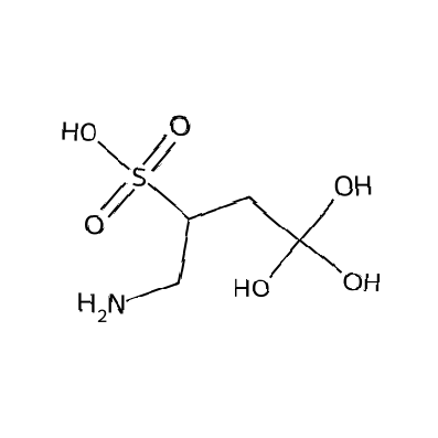 NCC(CC(O)(O)O)S(=O)(=O)O